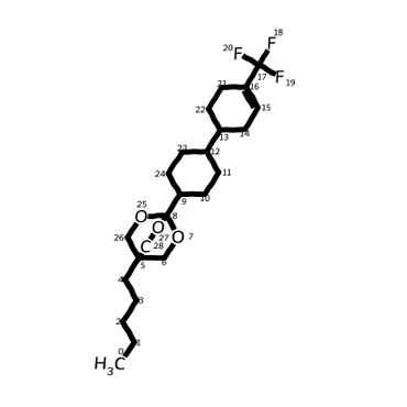 CCCCCC12COC(C3CCC(C4CC=C(C(F)(F)F)CC4)CC3)(OC1)OC2